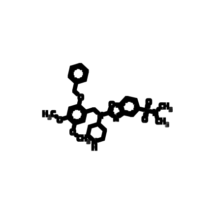 COc1cc(CN(c2nc3cc(S(=O)(=O)N(C)C)ccc3o2)C2CCNCC2)c(OCc2ccccc2)cc1OC